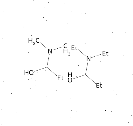 CCC(O)N(C)C.CCC(O)N(CC)CC